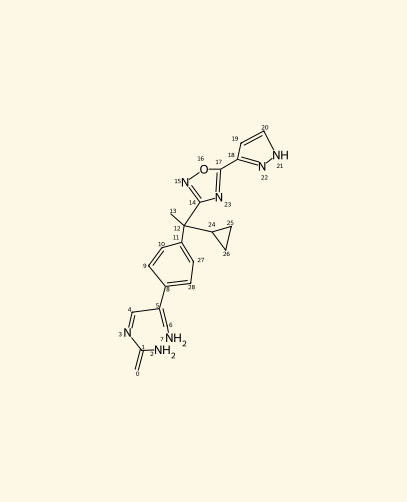 C=C(N)/N=C\C(=C/N)c1ccc(C(C)(c2noc(-c3cc[nH]n3)n2)C2CC2)cc1